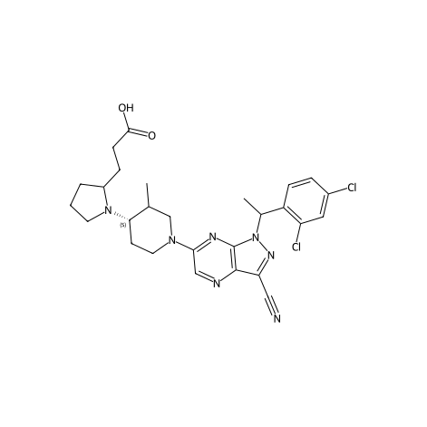 CC1CN(c2cnc3c(C#N)nn(C(C)c4ccc(Cl)cc4Cl)c3n2)CC[C@@H]1N1CCCC1CCC(=O)O